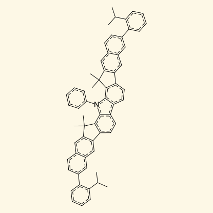 CC(C)c1ccccc1-c1ccc2cc3c(cc2c1)-c1ccc2c4ccc5c(c4n(-c4ccccc4)c2c1C3(C)C)C(C)(C)c1cc2ccc(-c3ccccc3C(C)C)cc2cc1-5